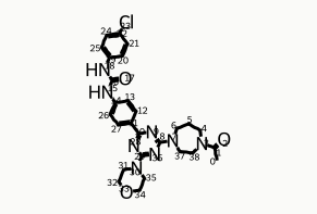 CC(=O)N1CCCN(c2nc(-c3ccc(NC(=O)Nc4ccc(Cl)cc4)cc3)nc(N3CCOCC3)n2)CC1